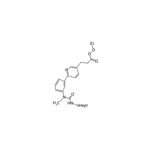 CCCCCCCNC(=O)N(C)c1cccc(-c2ccc(CCC(=O)OOCC)cn2)c1